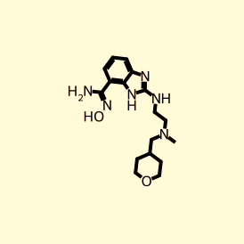 CN(CCNc1nc2cccc(C(N)=NO)c2[nH]1)CC1CCOCC1